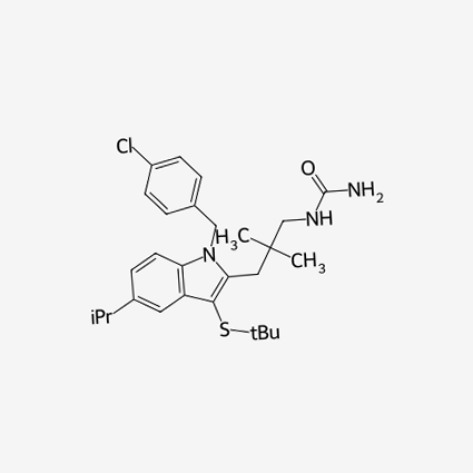 CC(C)c1ccc2c(c1)c(SC(C)(C)C)c(CC(C)(C)CNC(N)=O)n2Cc1ccc(Cl)cc1